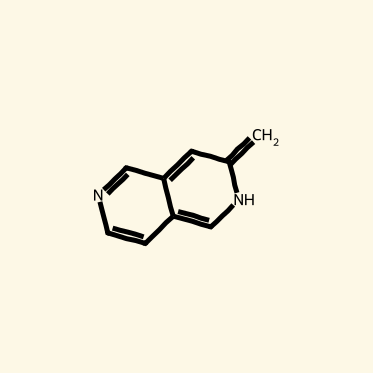 C=C1C=c2cnccc2=CN1